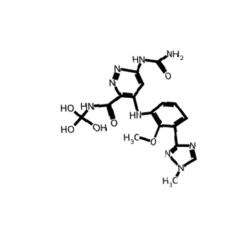 COc1c(Nc2cc(NC(N)=O)nnc2C(=O)NC(O)(O)O)cccc1-c1ncn(C)n1